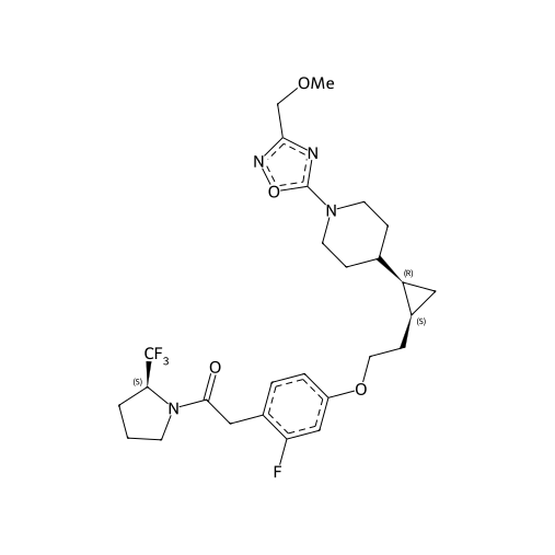 COCc1noc(N2CCC([C@H]3C[C@H]3CCOc3ccc(CC(=O)N4CCC[C@H]4C(F)(F)F)c(F)c3)CC2)n1